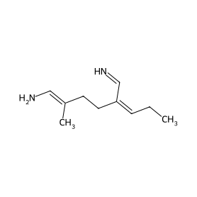 CC/C=C(\C=N)CC/C(C)=C/N